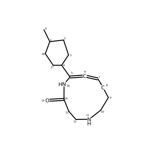 CC1CCC(C2=C=CCCCNCCC(=O)N2)CC1